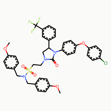 COc1ccc(CN(Cc2ccc(OC)cc2)S(=O)(=O)CCN2CC(c3cccc(C(F)(F)F)c3)N(c3ccc(Oc4ccc(Cl)cc4)cc3)C2=O)cc1